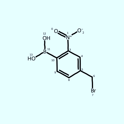 O=[N+]([O-])c1cc(CBr)ccc1B(O)O